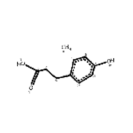 C.O=C(O)CCc1ccc(O)cc1